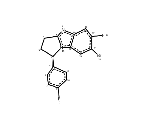 Fc1ccc([C@H]2CCc3nc4cc(F)c(Br)cc4n32)cc1